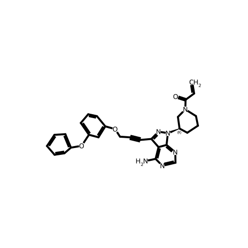 C=CC(=O)N1CCC[C@@H](n2nc(C#CCOc3cccc(Oc4ccccc4)c3)c3c(N)ncnc32)C1